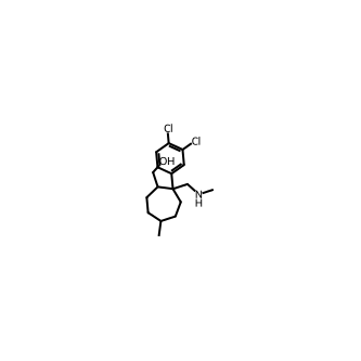 CNCC1(c2ccc(Cl)c(Cl)c2)CCC(C)CCC1CO